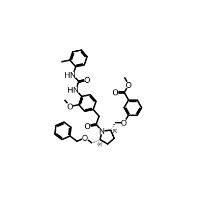 COC(=O)c1cccc(OC[C@@H]2CC[C@H](COCc3ccccc3)N2C(=O)Cc2ccc(NC(=O)Nc3ccccc3C)c(OC)c2)c1